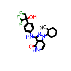 N#CC1CCCCC1n1nc(Nc2ccc(C(O)(CF)C(F)F)cc2)c2c(=O)[nH]ccc21